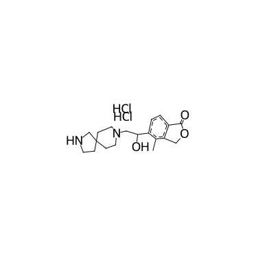 Cc1c(C(O)CN2CCC3(CCNC3)CC2)ccc2c1COC2=O.Cl.Cl